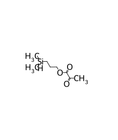 CC(=O)C(=O)OCCC[SiH](C)C